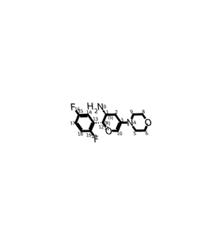 N[C@H]1CC(N2CCOCC2)=CO[C@@H]1c1cc(F)ccc1F